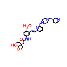 CCC(CC)(CC(=O)Nc1cccc(/C=C/c2cccc(CN3CCN(Cc4cccnc4)CC3)n2)c1)C(=O)O.O